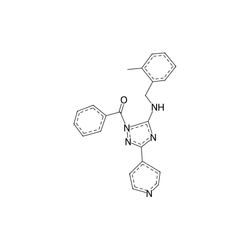 Cc1ccccc1CNc1nc(-c2ccncc2)nn1C(=O)c1ccccc1